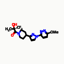 COc1ccc(-n2ccc(C3CCN(C(=O)[C@@](C)(O)C(F)(F)F)CC3)n2)nn1